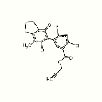 C#CCOC(=O)c1cc(-n2c(=O)c3c(n(C)c2=O)CCC3)c(F)cc1Cl